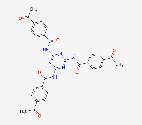 CC(=O)c1ccc(C(=O)Nc2nc(NC(=O)c3ccc(C(C)=O)cc3)nc(NC(=O)c3ccc(C(C)=O)cc3)n2)cc1